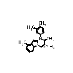 C=C(Nc1ccc(C)c(C)c1)[C@H](C)Cn1ccc2c(C)cccc21